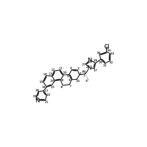 C[C@H](C1C=CC2=C(CCc3c2ccc2ccc(-c4ccncc4)cc32)C1)n1cnc(-c2cccc(Cl)c2)c1